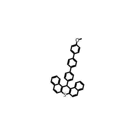 COc1ccc(-c2ccc(-c3ccc(C4c5c(ccc6ccccc56)Sc5ccc6ccccc6c54)cc3)cc2)cc1